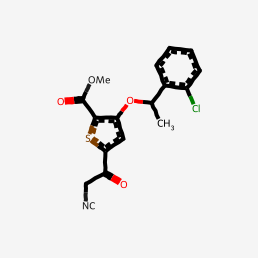 [C-]#[N+]CC(=O)c1cc(OC(C)c2ccccc2Cl)c(C(=O)OC)s1